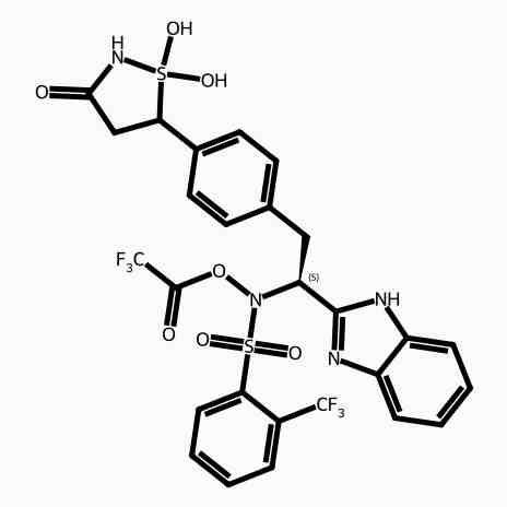 O=C1CC(c2ccc(C[C@@H](c3nc4ccccc4[nH]3)N(OC(=O)C(F)(F)F)S(=O)(=O)c3ccccc3C(F)(F)F)cc2)S(O)(O)N1